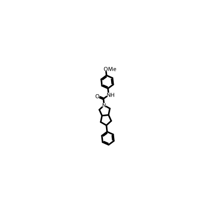 COc1ccc(NC(=O)N2CC3CC(c4ccccc4)CC3C2)cc1